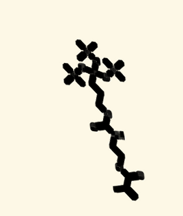 C=C(C)C(=O)OCCNC(=O)OCCC[Si](O[Si](C)(C)C)(O[Si](C)(C)C)O[Si](C)(C)C